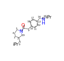 CC(C)CC1CCCN(C(=O)Cc2ccc(CNC(C)C)cc2)C1